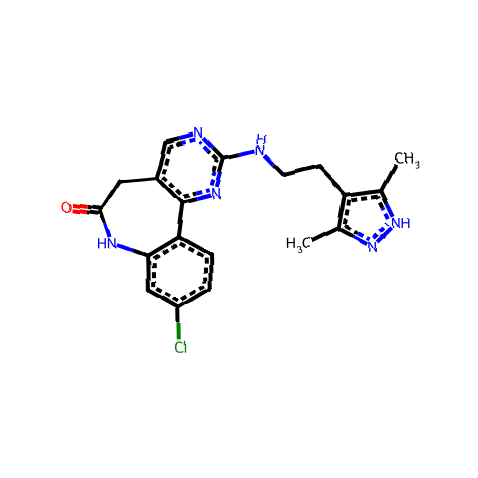 Cc1n[nH]c(C)c1CCNc1ncc2c(n1)-c1ccc(Cl)cc1NC(=O)C2